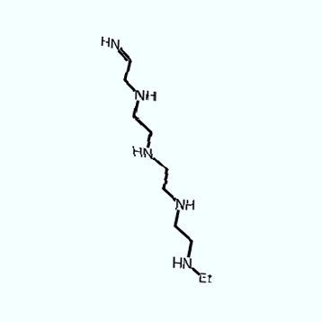 CCNCCNCCNCCNCC=N